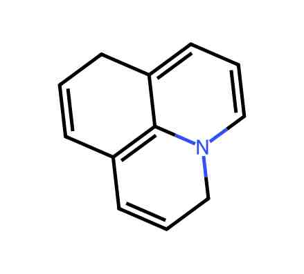 C1=CN2CC=CC3=C2C(=C1)CC=C3